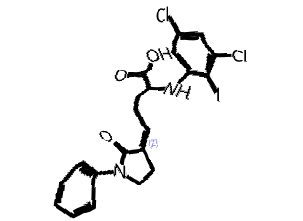 O=C(O)C(C/C=C1/CCN(c2ccccc2)C1=O)Nc1cc(Cl)cc(Cl)c1I